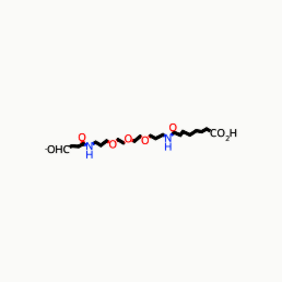 O=[C]CCC(=O)NCCCOCCOCCOCCCNC(=O)CCCCCCC(=O)O